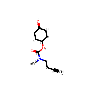 C#CCCN(CCC)C(=O)OC1CCC(=O)CC1